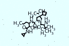 CCCC(NC(=O)[C@@H]1C[C@@](C(C)C)(C2CCC2)CN1C(=O)[C@@H](N)C(C)(C)C)C(O)C(=O)NC1CC1